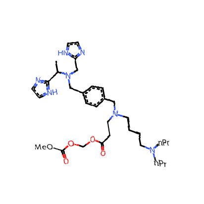 CCCN(CCC)CCCCN(CCC(=O)OCOC(=O)OC)Cc1ccc(CN(Cc2ncc[nH]2)C(C)c2ncc[nH]2)cc1